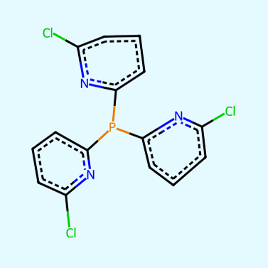 Clc1cccc(P(c2cccc(Cl)n2)c2cccc(Cl)n2)n1